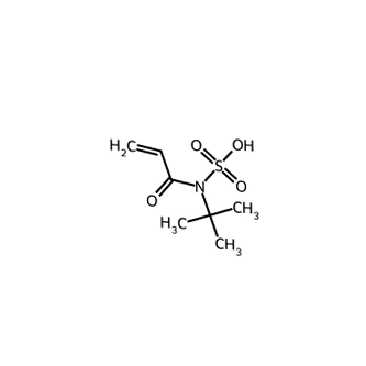 C=CC(=O)N(C(C)(C)C)S(=O)(=O)O